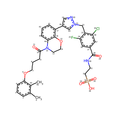 Cc1cccc(OCCCC(=O)N2CCOc3c(-c4cnn(Cc5c(F)cc(C(=O)NCCS(=O)(=O)O)cc5Cl)c4)cccc32)c1C